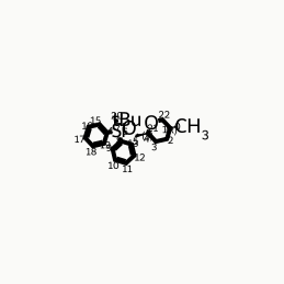 C[C@@H]1CC[C@@H](CO[Si](c2ccccc2)(c2ccccc2)C(C)(C)C)OC1